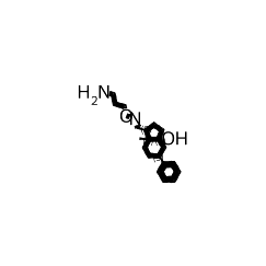 C[C@]12CC[C@H](c3ccccc3)C[C@@]1(O)CC[C@@H]2C=NOCCCN